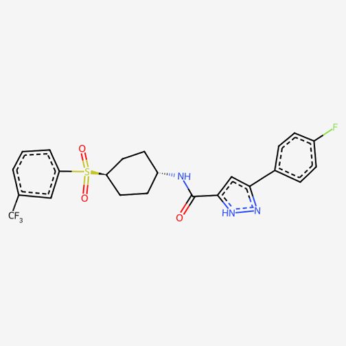 O=C(N[C@H]1CC[C@H](S(=O)(=O)c2cccc(C(F)(F)F)c2)CC1)c1cc(-c2ccc(F)cc2)n[nH]1